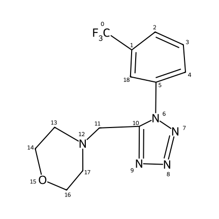 FC(F)(F)c1cccc(-n2nnnc2CN2CCOCC2)c1